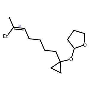 CC/C(C)=C\CCCCC1(OC2CCCO2)CC1